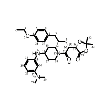 CCOc1ccc(CCC[C@@H](C(=O)N2CCC(Nc3cccc(N(C)C)c3)CC2)[C@@H]2OC(C)(C)OC2=O)cc1